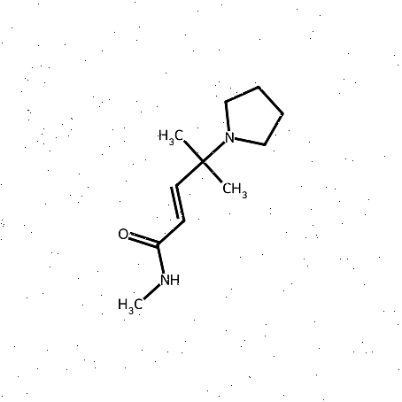 CNC(=O)/C=C/C(C)(C)N1CCCC1